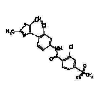 Cc1nc(-c2ccc(NC(=O)c3ccc(S(C)(=O)=O)cc3Cl)cc2Cl)c(C)s1